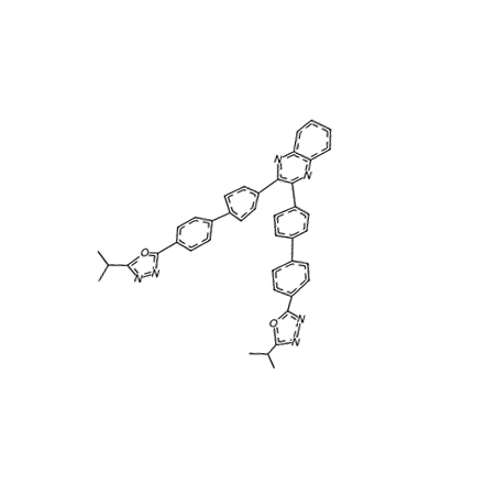 CC(C)c1nnc(-c2ccc(-c3ccc(-c4nc5ccccc5nc4-c4ccc(-c5ccc(-c6nnc(C(C)C)o6)cc5)cc4)cc3)cc2)o1